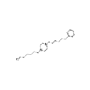 O=CCCCCCN1CCN(CCCCCCc2ccccc2)CC1